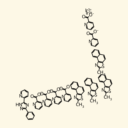 Cc1nc2c(ccc3ccccc32)s1.Cc1nc2c(ccc3ccccc32)s1.Cc1nc2c(ccc3ccccc32)s1.Cc1nc2c(ccc3ccccc32)s1.O=C([O-])c1ccccn1.O=C([O-])c1ccccn1.O=C([O-])c1ccccn1.O=C([O-])c1ccccn1.O=C([O-])c1ccccn1.O=C([O-])c1ccccn1.[Ir+3].[Ir+3].c1ccc(-c2n[nH]c(-c3ccccn3)n2)cc1